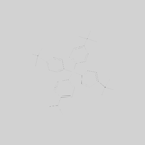 CC(C)c1ccc(S(c2ccc(C(C)(C)C)cc2)(c2ccc(C(C)(C)C)cc2)c2ccc(C(C)(C)C)cc2)cc1